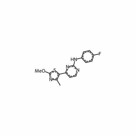 COc1nc(C)c(-c2ccnc(Nc3ccc(F)cc3)n2)s1